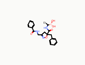 CCC(NC(=O)C1(Cc2ccccc2)CC(CNC(=O)c2ccccc2)=NO1)B(O)O